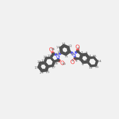 O=C1c2cc3c(cc2C(=O)N1c1cccc(N2C(=O)C4Cc5ccccc5CC4C2=O)c1)CCCC3